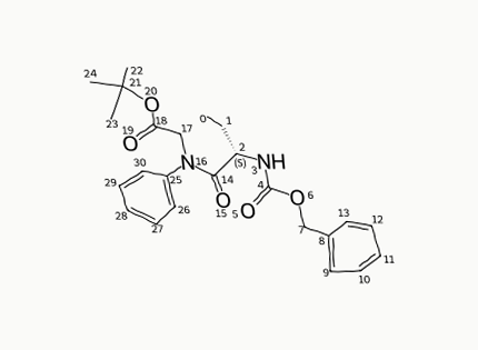 CC[C@H](NC(=O)OCc1ccccc1)C(=O)N(CC(=O)OC(C)(C)C)c1ccccc1